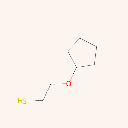 SCCOC1CCCC1